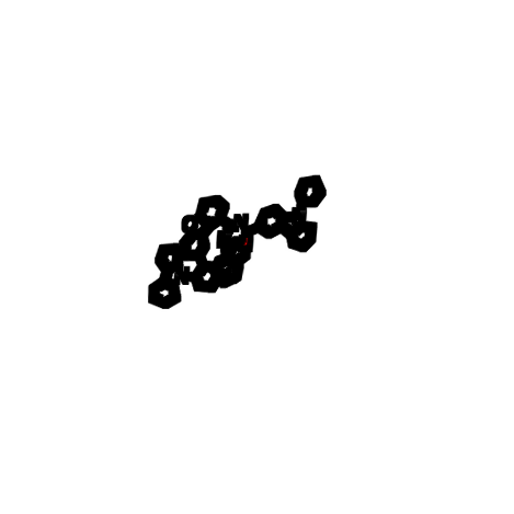 c1ccc(-c2nc(-c3ccc4c(c3)c3ccccc3n4-c3ccccc3)nc(-c3cccc4oc5ccc(-c6c(-n7c8ccccc8c8ccccc87)ccc7oc8ccccc8c67)cc5c34)n2)cc1